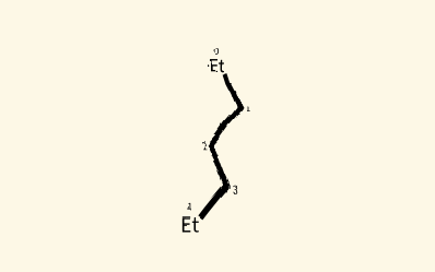 C[CH]CC[CH]CC